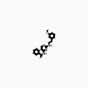 COc1cccc(CCNc2nccc(NC(C)c3ccccc3)n2)c1